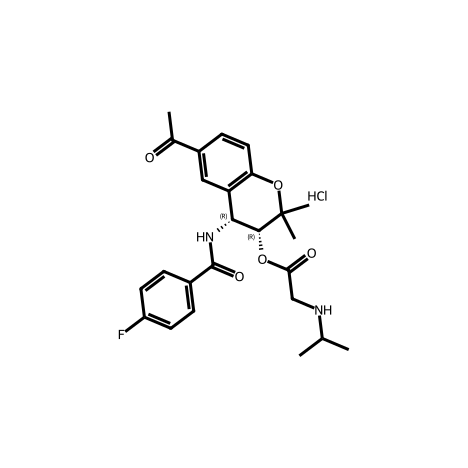 CC(=O)c1ccc2c(c1)[C@@H](NC(=O)c1ccc(F)cc1)[C@@H](OC(=O)CNC(C)C)C(C)(C)O2.Cl